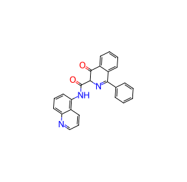 O=C(Nc1cccc2ncccc12)C1N=C(c2ccccc2)c2ccccc2C1=O